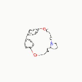 c1cc2ccc1OCCCC1CCCN1CCCOc1ccc-2cc1